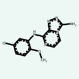 COc1ccc(Cl)cc1Nc1nccn2c(N)nnc12